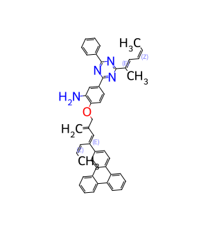 C=C(/C=C(\C=C/C)c1ccc2c3ccccc3c3ccccc3c2c1)COc1ccc(-c2nc(/C(C)=C/C=C\C)nc(-c3ccccc3)n2)cc1N